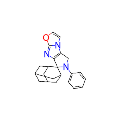 c1ccc(N2Cc3c(nc4occn34)C23C2CC4CC(C2)CC3C4)cc1